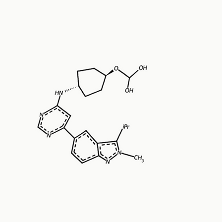 CC(C)c1c2cc(-c3cc(N[C@H]4CC[C@H](OC(O)O)CC4)ncn3)ccc2nn1C